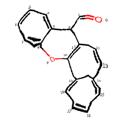 O=CC1c2ccccc2Oc2c1ccc1ccccc21